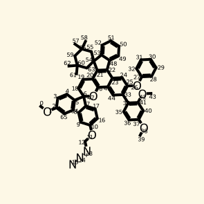 COc1ccc(C2(c3ccc(OCN=[N+]=[N-])cc3)C=Cc3c4c(c5cc(Oc6ccccc6)c(-c6ccc(OC)cc6OC)cc5c3O2)-c2ccccc2C42CC(C)(C)CC(C)(C)C2)cc1